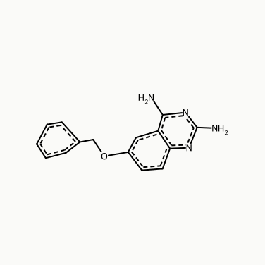 Nc1nc(N)c2cc(OCc3ccccc3)ccc2n1